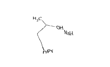 CCCCC(C)O.[NaH]